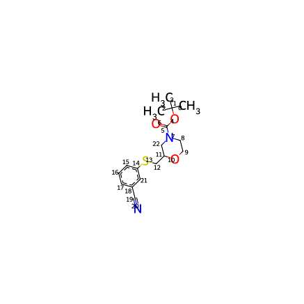 CC(C)(C)OC(=O)N1CCOC(CSc2cccc(C#N)c2)C1